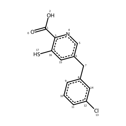 O=C(O)c1ncc(Cc2cccc(Cl)c2)cc1S